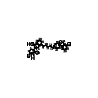 O=C1CCC(N2Cc3c(CCCCCN4CCC5(CC4)OCc4c(Cl)cccc45)cccc3C2O)C(=O)N1